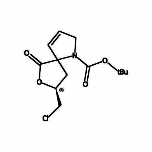 CC(C)(C)OC(=O)N1CC=CC12C[C@@H](CCl)OC2=O